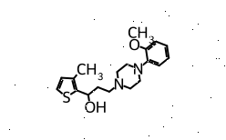 COc1ccccc1N1CCN(CCC(O)c2sccc2C)CC1